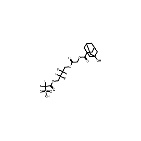 O=C(COC(=O)C12CC3CC(CC(O)(C3)C1)C2)OCC(F)(F)C(F)(F)COC(=O)C(F)(F)S(=O)(=O)O